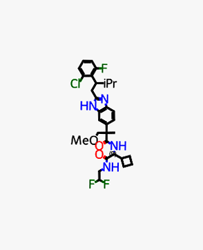 COCC(C)(C(=O)N[C@@H](C(=O)NCC(F)F)C1CCC1)c1ccc2nc(CC(c3c(F)cccc3Cl)C(C)C)[nH]c2c1